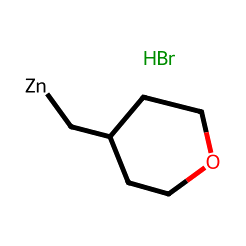 Br.[Zn][CH2]C1CCOCC1